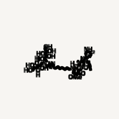 CC#CCn1c(N2CCC[C@@H](N)C2)nc2c1c(=O)n(Cc1nc(NCCCCCCCn3cc(CN(C[C@H](O)[C@@H](O)[C@H](O)[C@H](O)CO)C[C@H](O)[C@@H](O)[C@H](O)[C@H](O)CO)nn3)ccc1C(=O)OC)c(=O)n2C